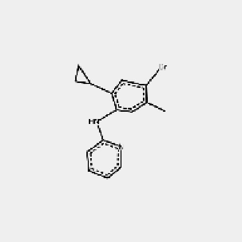 Cc1cc(Nc2ccccn2)c(C2CC2)cc1Br